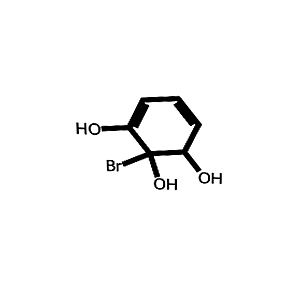 OC1=CC=CC(O)C1(O)Br